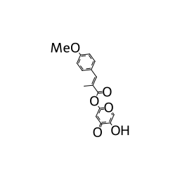 COc1ccc(/C=C(\C)C(=O)Oc2cc(=O)c(O)co2)cc1